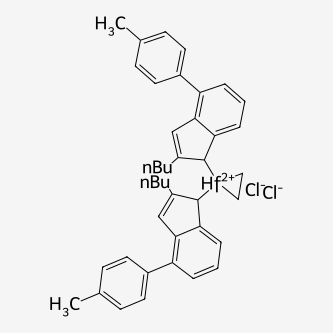 CCCCC1=Cc2c(-c3ccc(C)cc3)cccc2[CH]1[Hf+2]1([CH]2C(CCCC)=Cc3c(-c4ccc(C)cc4)cccc32)[CH2][CH2]1.[Cl-].[Cl-]